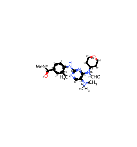 CNC(=O)c1ccc(Nc2ncc(N(C)C)c(N(C=O)C3CCOCC3)n2)c(C)c1